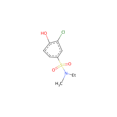 CCN(C)S(=O)(=O)c1ccc(O)c(Cl)c1